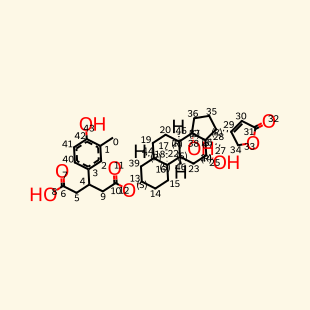 Cc1cc(C(CC(=O)O)CC(=O)O[C@H]2CC[C@@]3(C)[C@H](CC[C@@H]4[C@@H]3C[C@@H](O)[C@]3(C)[C@@H](C5=CC(=O)OC5)CC[C@]43O)C2)ccc1O